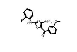 COc1cccc(C(=O)c2sc(Nc3ccccc3F)nc2N)c1